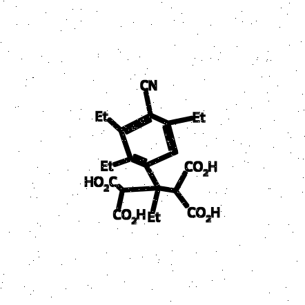 CCc1cc(C(CC)(C(C(=O)O)C(=O)O)C(C(=O)O)C(=O)O)c(CC)c(CC)c1C#N